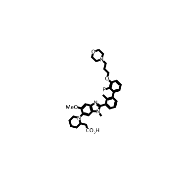 COc1cc2nc(-c3cccc(-c4cccc(OCCCN5CCOCC5)c4F)c3C)n(C)c2cc1N1CCCCC1CC(=O)O